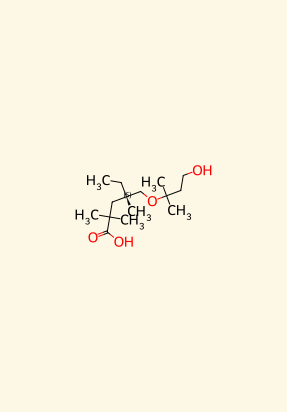 CC[C@](C)(COC(C)(C)CCO)CC(C)(C)C(=O)O